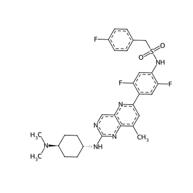 Cc1cc(-c2cc(F)c(NS(=O)(=O)Cc3ccc(F)cc3)cc2F)nc2cnc(N[C@H]3CC[C@H](N(C)C)CC3)nc12